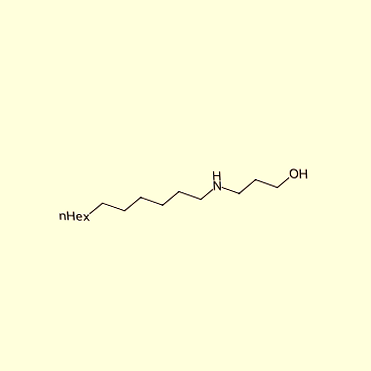 CCCCCCCCCCCCNCCCO